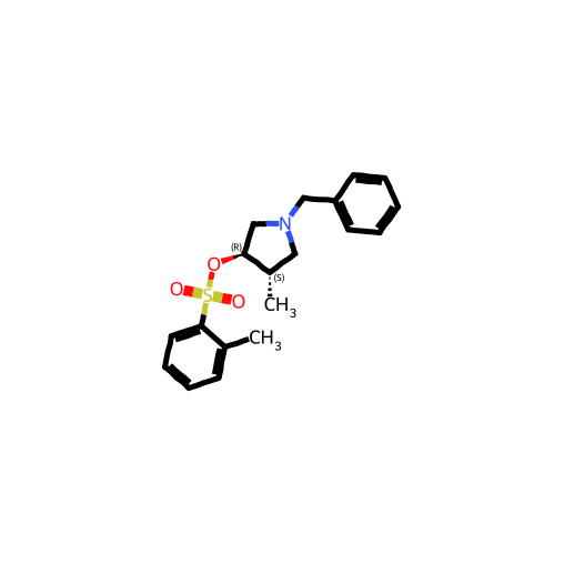 Cc1ccccc1S(=O)(=O)O[C@H]1CN(Cc2ccccc2)C[C@@H]1C